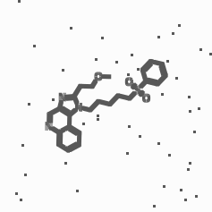 COCCc1nc2cnc3ccccc3c2n1CCCCCS(=O)(=O)c1ccccc1